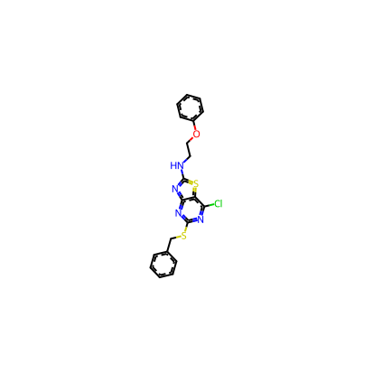 Clc1nc(SCc2ccccc2)nc2nc(NCCOc3ccccc3)sc12